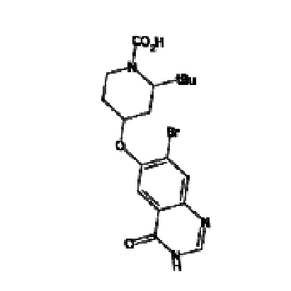 CC(C)(C)C1CC(Oc2cc3c(=O)[nH]cnc3cc2Br)CCN1C(=O)O